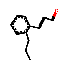 CCCc1ccccc1/C=C/C=O